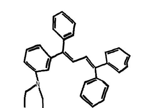 CCN(CC)c1cccc(C(=CC=C(c2ccccc2)c2ccccc2)c2ccccc2)c1